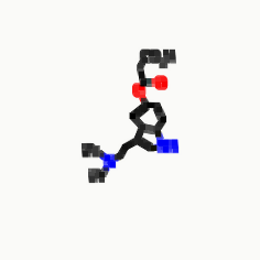 CC(C)N(CCc1c[nH]c2ccc(OC(=O)CC(=O)O)cc12)C(C)C